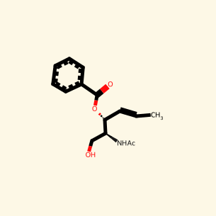 C/C=C/[C@@H](OC(=O)c1ccccc1)[C@H](CO)NC(C)=O